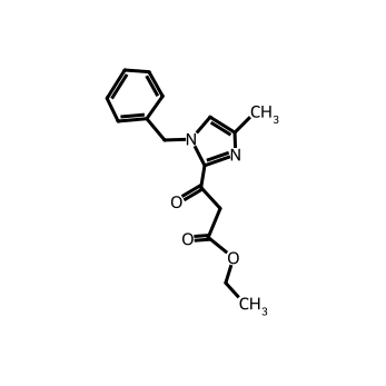 CCOC(=O)CC(=O)c1nc(C)cn1Cc1ccccc1